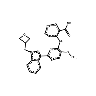 COc1cnc(-c2nn(CC3COC3)c3ccccc23)nc1Nc1ccncc1C(N)=O